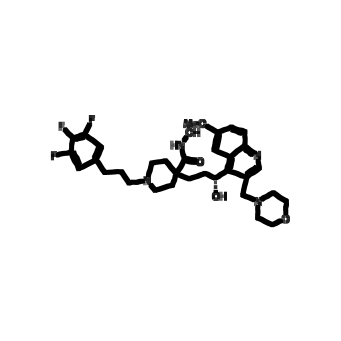 COc1ccc2ncc(CN3CCOCC3)c([C@H](O)CCC3(C(=O)NO)CCN(CCCc4cc(F)c(F)c(F)c4)CC3)c2c1